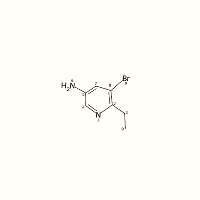 CCc1ncc(N)cc1Br